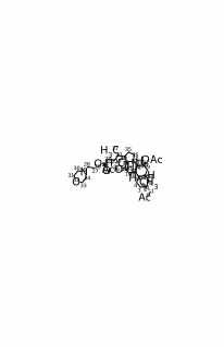 CC(=O)C[C@@H]1CC[C@@]2(C)[C@@H](C1)C[C@@H](OC(C)=O)[C@@H]1[C@@H]2C[C@H](OC(C)=O)[C@]2(C)[C@@H](C(C)CCC(=O)OCCN3CCOCC3)CC[C@@H]12